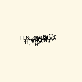 C/C(=C\C=C/C(C)Cl)c1nnc(-c2ccc(NC(O)/C(N)=C/SN)cc2)[nH]1